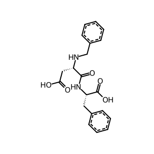 O=C(O)C[C@H](NCc1ccccc1)C(=O)N[C@@H](Cc1ccccc1)C(=O)O